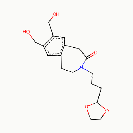 O=C1Cc2cc(CO)c(CO)cc2CCN1CCCC1OCCO1